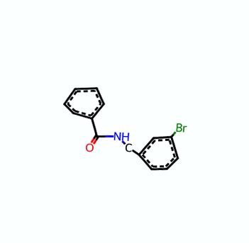 O=C(NCc1cccc(Br)c1)c1ccccc1